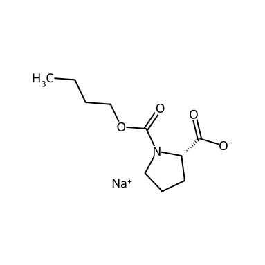 CCCCOC(=O)N1CCC[C@H]1C(=O)[O-].[Na+]